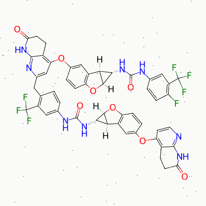 O=C1CCc2c(Oc3ccc4c(c3)[C@H]3[C@H](NC(=O)Nc5ccc(Cc6cc(Oc7ccc8c(c7)[C@H]7[C@H](NC(=O)Nc9ccc(F)c(C(F)(F)F)c9)[C@H]7O8)c7c(n6)NC(=O)CC7)c(C(F)(F)F)c5)[C@H]3O4)ccnc2N1